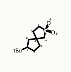 CC(C)(C)C1CCC2(CCS(=O)(=O)C2)C1